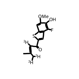 [2H]C(C(=O)c1cc2c(F)c(O)c(OC)cc2s1)=C(C)C([2H])[2H]